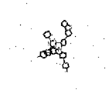 Cc1ccc(-c2ccc3c(c2)c2cc(-c4ccc(C)cc4)ccc2n3-c2ccc(-c3ccc4sc5ccccc5c4c3)cc2-c2nc(-c3ccccc3)nc(-c3ccccc3)n2)cc1